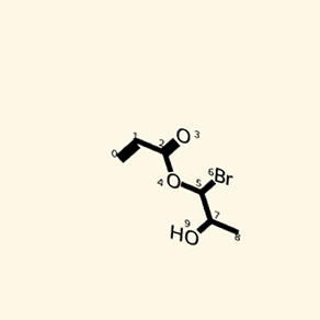 C=CC(=O)OC(Br)C(C)O